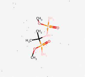 BP(=O)(BC(C)(C)P(B)(=O)OC)OC